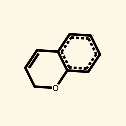 [c]1ccc2c(c1)C=CCO2